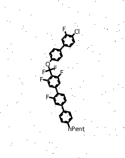 CCCCCc1ccc(-c2ccc(-c3cc(F)c(C(F)(F)Oc4ccc(-c5ccc(Cl)c(F)c5)cc4)c(F)c3)c(F)c2)cc1